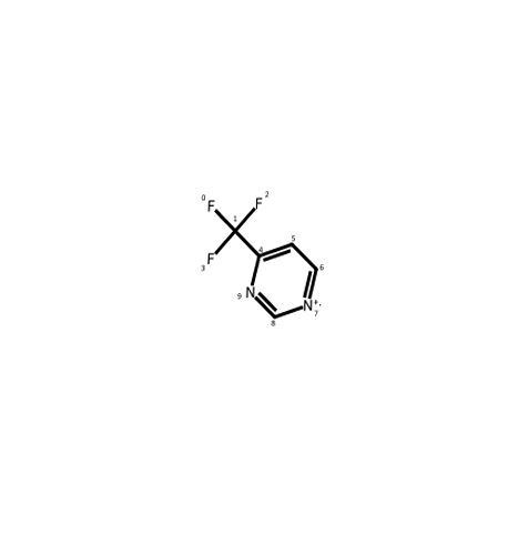 FC(F)(F)C1=CC=[N+]C=N1